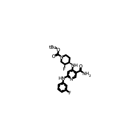 CC(C)(C)OC(=O)N1CC[C@@H](Nc2cc(Nc3cccc(F)c3)ncc2C(N)=O)[C@@H](F)C1